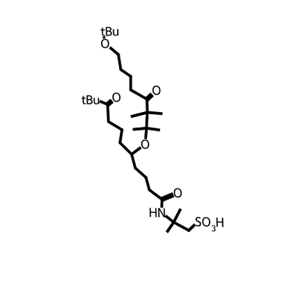 CC(C)(CS(=O)(=O)O)NC(=O)CCCC(CCCC(=O)C(C)(C)C)OC(C)(C)C(C)(C)C(=O)CCCCOC(C)(C)C